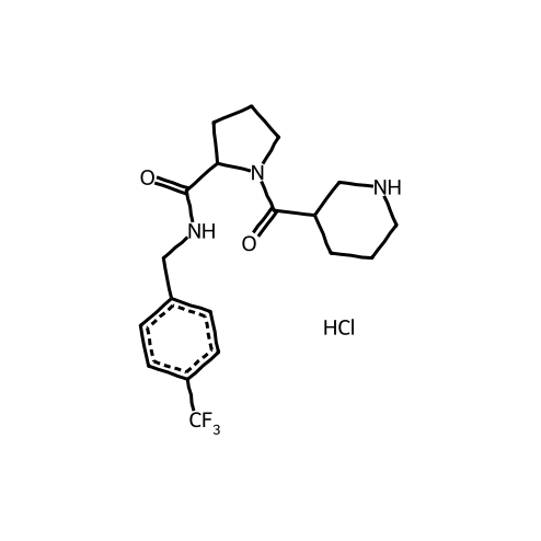 Cl.O=C(NCc1ccc(C(F)(F)F)cc1)C1CCCN1C(=O)C1CCCNC1